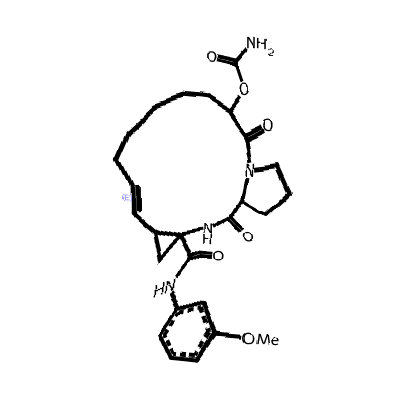 COc1cccc(NC(=O)C23CC2/C=C/CCCCCC(OC(N)=O)C(=O)N2CCCC2C(=O)N3)c1